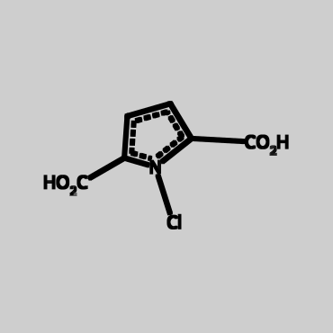 O=C(O)c1ccc(C(=O)O)n1Cl